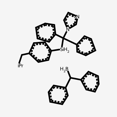 BC(c1ccccc1)c1ccccc1.CC(C)Cc1ccc([SiH2]C(c2ccccc2)(c2ccccc2)n2ccnc2)cc1